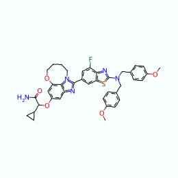 COc1ccc(CN(Cc2ccc(OC)cc2)c2nc3c(F)cc(-c4nc5cc(OC(C(N)=O)C6CC6)cc6c5n4CCCCO6)cc3s2)cc1